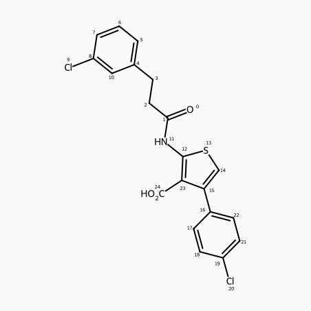 O=C(CCc1cccc(Cl)c1)Nc1scc(-c2ccc(Cl)cc2)c1C(=O)O